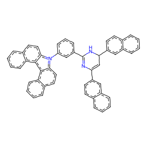 C1=C(c2ccc3ccccc3c2)N=C(c2cccc(-n3c4ccc5ccccc5c4c4c5ccccc5ccc43)c2)NC1c1ccc2ccccc2c1